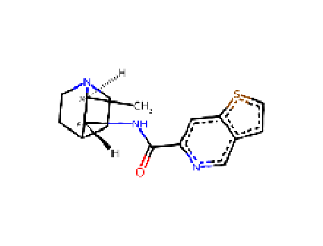 C[C@H]1[C@H](NC(=O)c2cc3sccc3cn2)C2CCN1CC2